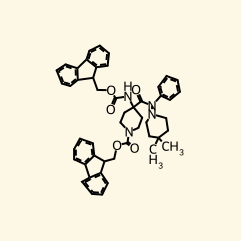 CC1(C)CCN(N(C(=O)C2(NC(=O)OCC3c4ccccc4-c4ccccc43)CCN(C(=O)OCC3c4ccccc4-c4ccccc43)CC2)c2ccccc2)CC1